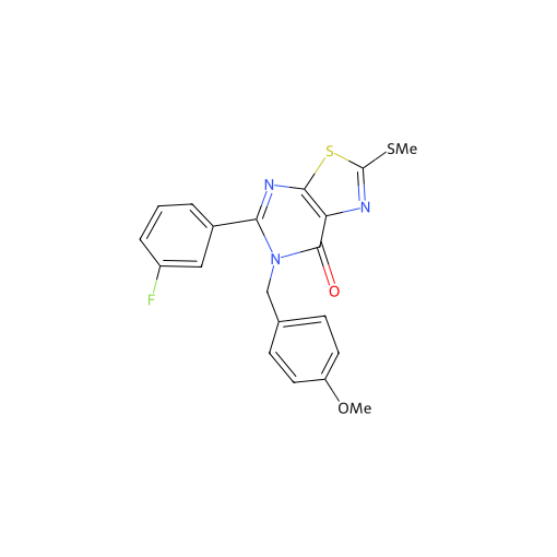 COc1ccc(Cn2c(-c3cccc(F)c3)nc3sc(SC)nc3c2=O)cc1